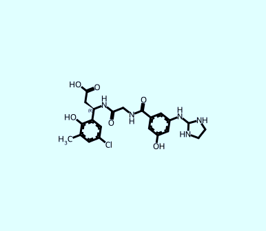 Cc1cc(Cl)cc([C@@H](CC(=O)O)NC(=O)CNC(=O)c2cc(O)cc(NC3NCCN3)c2)c1O